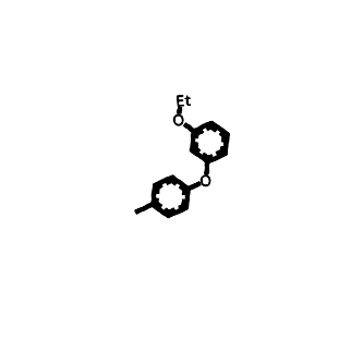 CCOc1cccc(Oc2ccc(C)cc2)c1